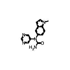 Cn1ccc2cc(N(C(N)=O)c3cncnc3)ccc21